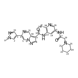 Cn1cc(-c2cn3ncc(C(=O)Nc4cc(NC(=O)CN5CCCCC5)cnc4F)c3cn2)cn1